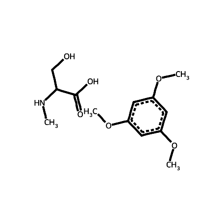 CNC(CO)C(=O)O.COc1cc(OC)cc(OC)c1